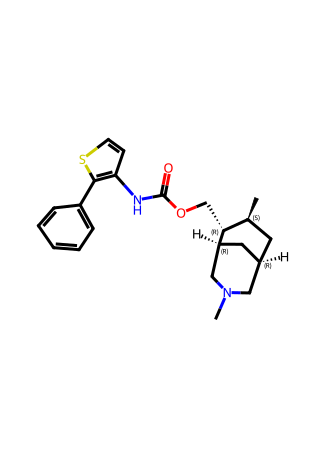 C[C@H]1C[C@@H]2C[C@@H](CN(C)C2)[C@@H]1COC(=O)Nc1ccsc1-c1ccccc1